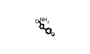 COc1ccc(C2C[CH]C(C(N)=O)C2)cc1